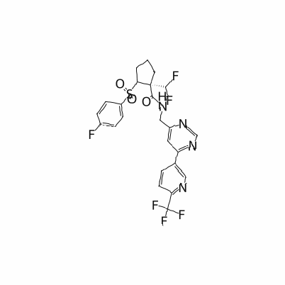 O=C(NCc1cc(-c2ccc(C(F)(F)F)nc2)ncn1)[C@]1(C(F)F)CCCC1S(=O)(=O)c1ccc(F)cc1